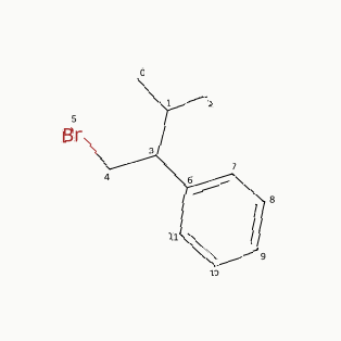 CC(C)C(CBr)c1ccccc1